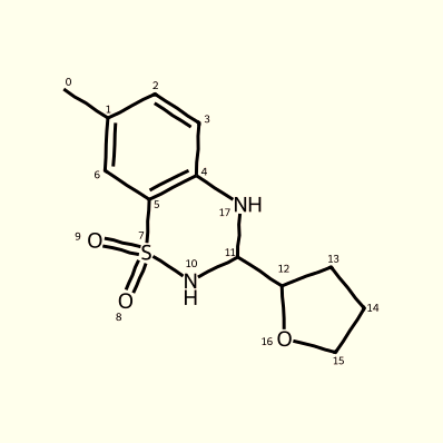 Cc1ccc2c(c1)S(=O)(=O)NC(C1CCCO1)N2